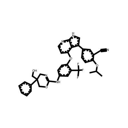 CC(C)Oc1ccc(-c2c[nH]c3nccc(Oc4ccc(NC5=NCC(CO)(c6ccccc6)CO5)cc4C(F)(F)F)c23)cc1C#N